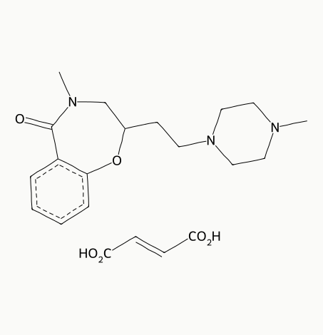 CN1CCN(CCC2CN(C)C(=O)c3ccccc3O2)CC1.O=C(O)C=CC(=O)O